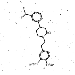 CCCCCc1cc(CCN2CCN(c3cccc(C(F)F)c3)CC2)ccc1OC.Cl